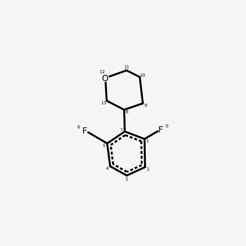 Fc1cccc(F)c1C1CCCOC1